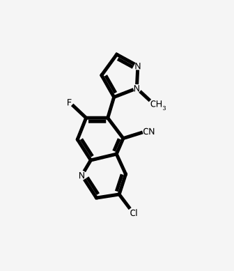 Cn1nccc1-c1c(F)cc2ncc(Cl)cc2c1C#N